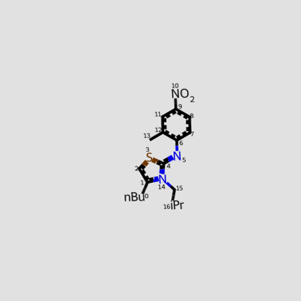 CCCCc1csc(=Nc2ccc([N+](=O)[O-])cc2C)n1CC(C)C